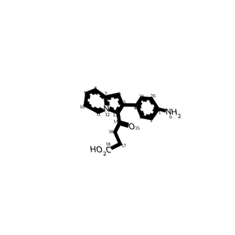 Nc1ccc(-c2cc3ccccn3c2C(=O)CCC(=O)O)cc1